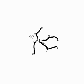 C[CH2][Al-]([CH2]C)([CH2]C)[CH2]C.[K+]